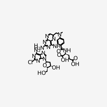 CN(Cc1cnc2nc(N)nc(N)c2n1)c1ccc(C(=O)N[C@@H](CCC(=O)O)C(=O)O)cc1.Nc1nc(Cl)nc2c1ncn2[C@H]1C[C@H](O)[C@@H](CO)O1